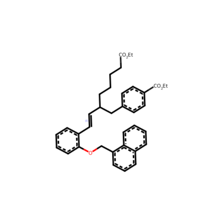 CCOC(=O)CCCCC(/C=C/c1ccccc1OCc1cccc2ccccc12)Cc1ccc(C(=O)OCC)cc1